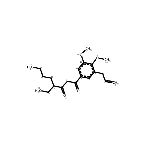 C=CCc1cc(C(=O)CC(=O)C(CC)CCCC)cc(OC)c1OC